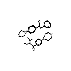 CCC(C(=O)c1ccc(N2CCOCC2)cc1)N(C)C.O=C(Cc1ccccc1)c1ccc(N2CCOCC2)cc1